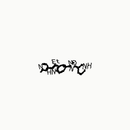 CCc1c(-c2ccnc(C)c2)[nH]c2ccc(-c3noc(C4CCCNC4)n3)cc12